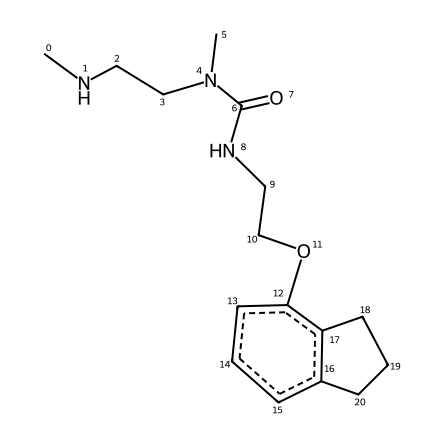 CNCCN(C)C(=O)NCCOc1cccc2c1CCC2